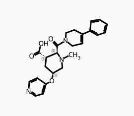 CN1C[C@@H](Oc2ccncc2)C[C@H](C(=O)O)[C@H]1C(=O)N1CC=C(c2ccccc2)CC1